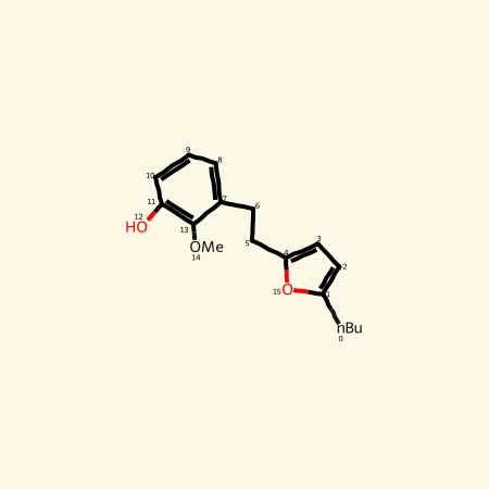 CCCCc1ccc(CCc2cccc(O)c2OC)o1